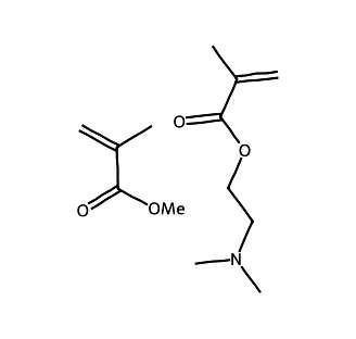 C=C(C)C(=O)OC.C=C(C)C(=O)OCCN(C)C